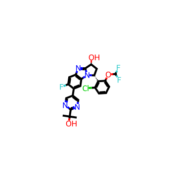 CC(C)(O)c1ncc(-c2cc3c(cc2F)nc2n3[C@@H](c3c(Cl)cccc3OC(F)F)C[C@@H]2O)cn1